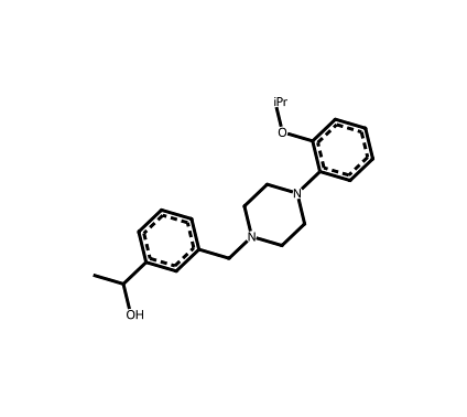 CC(C)Oc1ccccc1N1CCN(Cc2cccc(C(C)O)c2)CC1